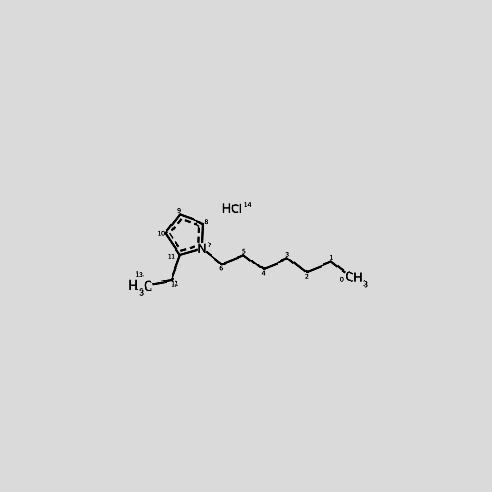 CCCCCCCn1cccc1CC.Cl